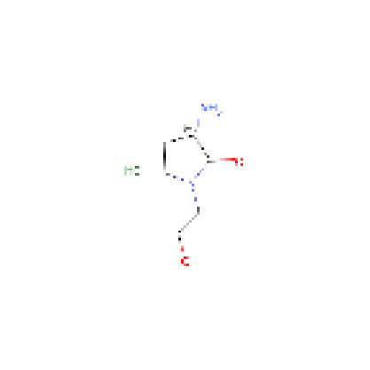 Cl.N[C@H]1CCN(CCO)C1=O